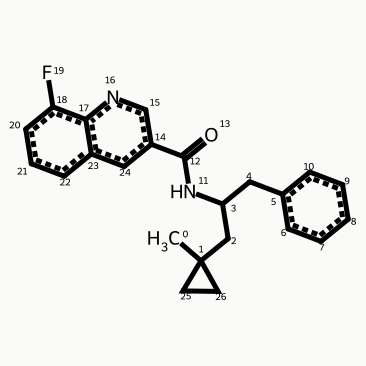 CC1(CC(Cc2ccccc2)NC(=O)c2cnc3c(F)cccc3c2)CC1